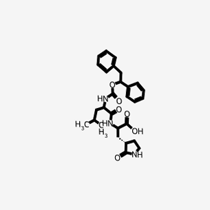 CC(C)CC(NC(=O)OC(Cc1ccccc1)c1ccccc1)C(=O)NC(C[C@@H]1CCNC1=O)C(=O)O